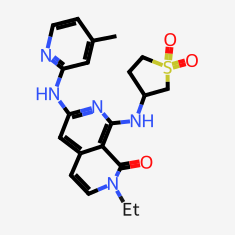 CCn1ccc2cc(Nc3cc(C)ccn3)nc(NC3CCS(=O)(=O)C3)c2c1=O